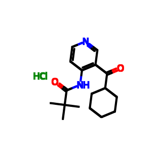 CC(C)(C)C(=O)Nc1ccncc1C(=O)C1CCCCC1.Cl